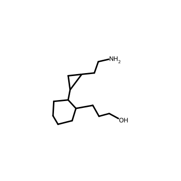 NCCC1CC1C1CCCCC1CCCO